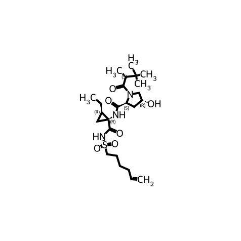 C=CCCCCS(=O)(=O)NC(=O)[C@@]1(NC(=O)[C@@H]2C[C@@H](O)CN2C(=O)[C@@H](C)C(C)(C)C)C[C@H]1CC